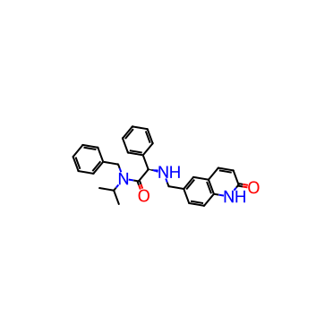 CC(C)N(Cc1ccccc1)C(=O)[C@H](NCc1ccc2[nH]c(=O)ccc2c1)c1ccccc1